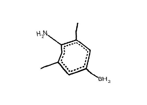 Bc1cc(C)c(N)c(C)c1